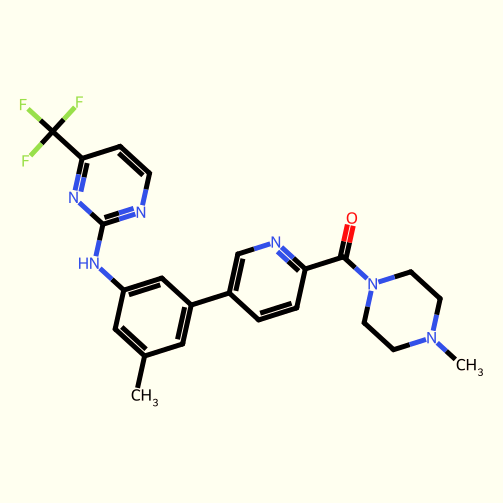 Cc1cc(Nc2nccc(C(F)(F)F)n2)cc(-c2ccc(C(=O)N3CCN(C)CC3)nc2)c1